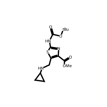 COC(=O)c1nc(NC(=O)OC(C)(C)C)sc1CNC1CC1